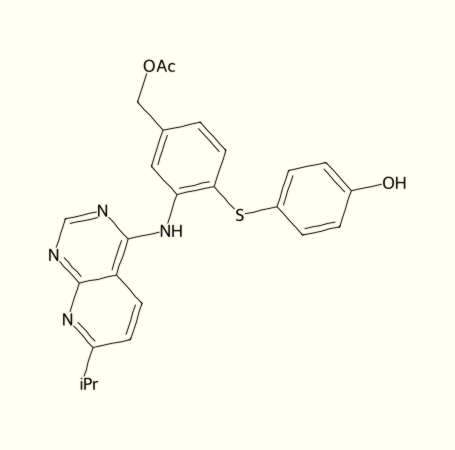 CC(=O)OCc1ccc(Sc2ccc(O)cc2)c(Nc2ncnc3nc(C(C)C)ccc23)c1